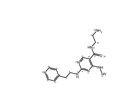 CCCNc1nc(NCCc2ccncc2)ncc1C(=O)NCCN